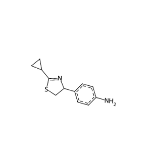 Nc1ccc(C2CSC(C3CC3)=N2)cc1